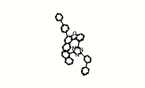 c1ccc(-c2ccc(-c3cc4ccccc4c4c3oc3cccc(-c5nc(-c6cccc(-c7ccccc7)c6)nc(-c6cccc7ccccc67)n5)c34)cc2)cc1